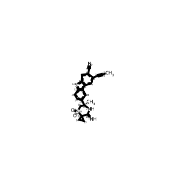 CC#Cc1cc2c(cc1C#N)sc1ccc([C@]3(C)CS(=O)(=O)C4(CC4)C(=N)N3)cc12